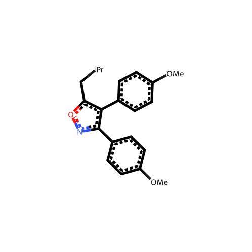 COc1ccc(-c2noc(CC(C)C)c2-c2ccc(OC)cc2)cc1